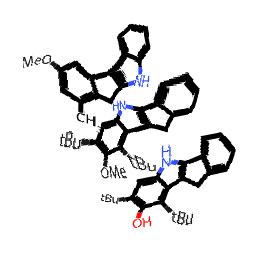 CC(C)(C)c1cc2[nH]c3c(c2c(C(C)(C)C)c1O)Cc1ccccc1-3.COc1c(C(C)(C)C)cc2[nH]c3c(c2c1C(C)(C)C)Cc1ccccc1-3.COc1cc(C)c2c(c1)-c1c([nH]c3ccccc13)C2